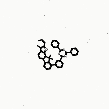 C/C=C\c1oc2c3c(ccc2c1C)-c1cccc(-c2cccc(-c4nc(-c5ccccc5)nc(-c5ccccc5)n4)c2)c1C3(C)C